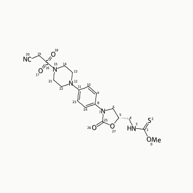 COC(=S)NC[C@H]1CN(c2ccc(N3CCN(S(=O)(=O)CC#N)CC3)cc2)C(=O)O1